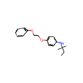 CCC(C)(C)Nc1ccc(OCCOc2ccccc2)cc1